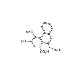 COc1c(O)cc(C(=O)O)c2c(CN)cc3ccccc3c12